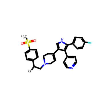 CCC(CN1CC=C(c2c[nH]c(-c3ccc(F)cc3)c2-c2ccncc2)CC1)c1ccc(S(C)(=O)=O)cc1